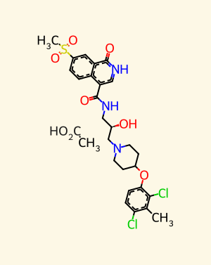 CC(=O)O.Cc1c(Cl)ccc(OC2CCN(C[C@H](O)CNC(=O)c3c[nH]c(=O)c4cc(S(C)(=O)=O)ccc34)CC2)c1Cl